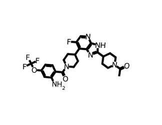 CC(=O)N1CCC(c2nc3c(C4CCN(C(=O)c5ccc(OC(F)(F)F)cc5N)CC4)c(F)cnc3[nH]2)CC1